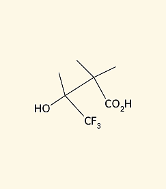 CC(C)(C(=O)O)C(C)(O)C(F)(F)F